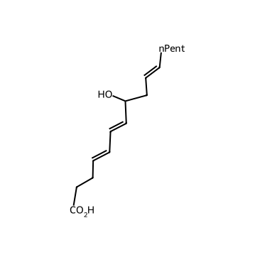 CCCCCC=CCC(O)C=CC=CCCC(=O)O